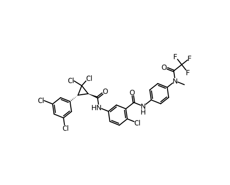 CN(C(=O)C(F)(F)F)c1ccc(NC(=O)c2cc(NC(=O)[C@H]3[C@H](c4cc(Cl)cc(Cl)c4)C3(Cl)Cl)ccc2Cl)cc1